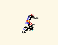 COC1(c2cc(S(=O)(=O)NC(=O)Cc3c(-c4ccnc(C)c4)cc(F)cc3C(C)C)nn2C)COC1